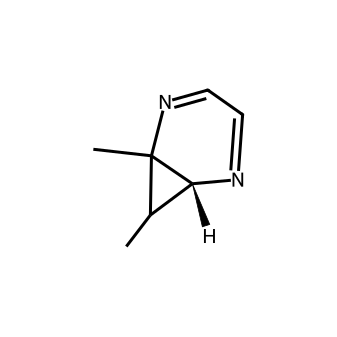 CC1[C@H]2N=CC=NC12C